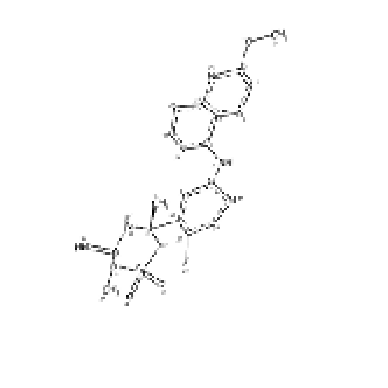 COc1cnc2c(Nc3cc([C@]4(C)CS(=O)(=O)N(C)C(=N)N4)c(F)cn3)nccc2n1